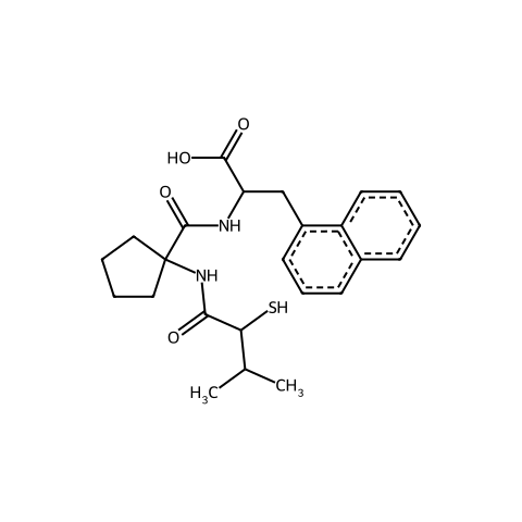 CC(C)C(S)C(=O)NC1(C(=O)NC(Cc2cccc3ccccc23)C(=O)O)CCCC1